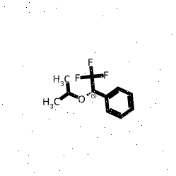 CC(C)O[C@@H](c1ccccc1)C(F)(F)F